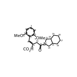 COc1cccc(OC)c1/C=C(\CC(=O)N1CC2CCCCC2C1)C(=O)O